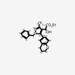 CCOC(=O)C(O)c1c(C(F)(F)F)nn(Cc2ccccc2)c1-c1ccc2c(c1)CCCO2